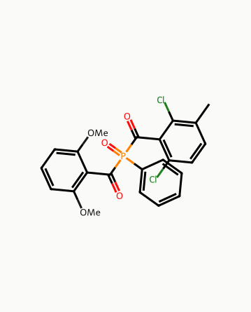 COc1cccc(OC)c1C(=O)P(=O)(C(=O)c1c(Cl)ccc(C)c1Cl)c1ccccc1